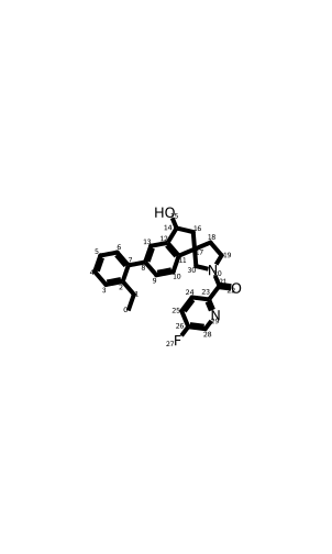 CCc1ccccc1-c1ccc2c(c1)C(O)CC21CCN(C(=O)c2ccc(F)cn2)C1